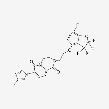 Cc1cn(-c2ccc3n(c2=O)CCN(CCOc2ccc(F)c4c2C(F)(F)C(F)(F)O4)C3=O)cn1